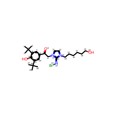 CC(C)(C)c1cc(C(=O)Cn2ccn(CCCCCCO)/c2=N/Br)cc(C(C)(C)C)c1O